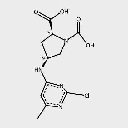 Cc1cc(N[C@H]2C[C@@H](C(=O)O)N(C(=O)O)C2)nc(Cl)n1